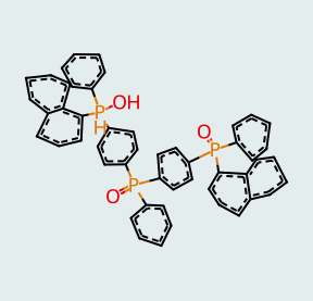 O=P(c1ccccc1)(c1ccc(P(=O)(c2ccccc2)c2cccc3ccccc23)cc1)c1ccc([PH](O)(c2ccccc2)c2cccc3ccccc23)cc1